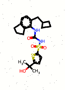 CC(C)(O)c1ccc(S(=O)(=O)NC(=O)Nc2c(CC3CCC3)ccc3c2CCC3)s1